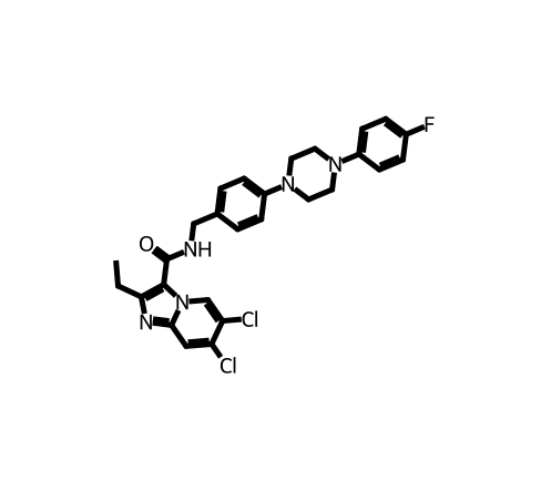 CCc1nc2cc(Cl)c(Cl)cn2c1C(=O)NCc1ccc(N2CCN(c3ccc(F)cc3)CC2)cc1